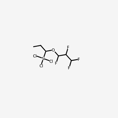 CCC(OC(F)C(F)C(F)F)[Si](Cl)(Cl)Cl